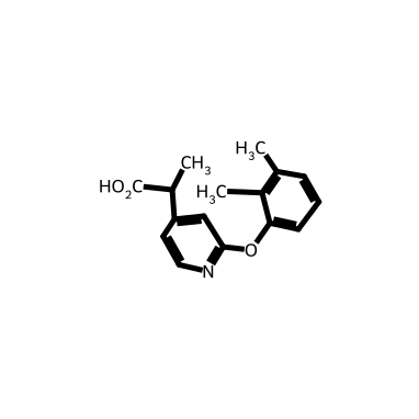 Cc1cccc(Oc2cc(C(C)C(=O)O)ccn2)c1C